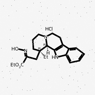 CCOC(=O)C(C[C@@]1(CC)CCCN2CCc3c([nH]c4ccccc34)[C@H]21)=NO.Cl